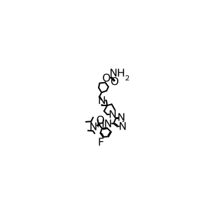 CC(C)N(C(=O)c1cc(F)ccc1Nc1cncnc1N1CCC2(CC1)CN(CC1CCC(OC(N)=O)CC1)C2)C(C)C